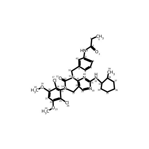 CCC(=O)Nc1cccc(CN2C(=O)N(c3c(Cl)c(OC)cc(OC)c3Cl)Cc3cnc(NC4CCCCC4C)nc32)c1